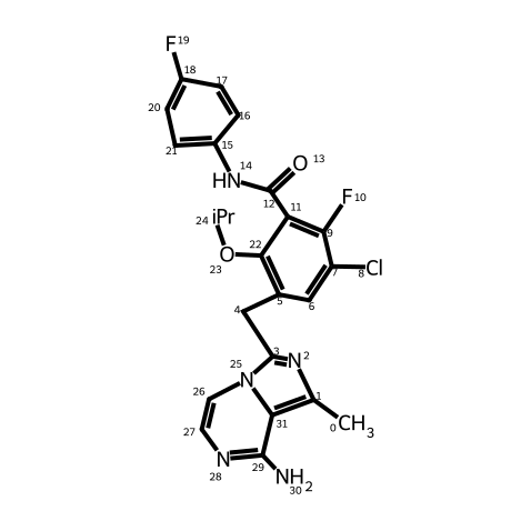 Cc1nc(Cc2cc(Cl)c(F)c(C(=O)Nc3ccc(F)cc3)c2OC(C)C)n2ccnc(N)c12